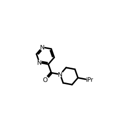 CC(C)C1CCN(C(=O)c2ccncn2)CC1